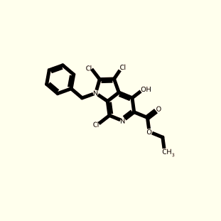 CCOC(=O)c1nc(Cl)c2c(c1O)c(Cl)c(Cl)n2Cc1ccccc1